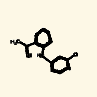 CC(=N)c1ccccc1Nc1ccnc(Cl)c1